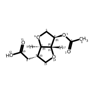 CC(=O)O[C@@H]1CO[C@@H]2[C@@H](CC(=O)O)CO[C@H]21